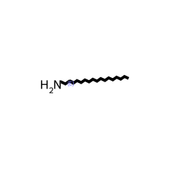 CCCCCCCCCCCCCC/C=C/CCN